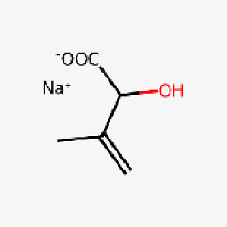 C=C(C)C(O)C(=O)[O-].[Na+]